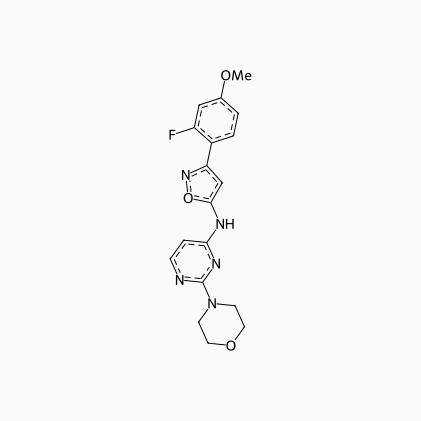 COc1ccc(-c2cc(Nc3ccnc(N4CCOCC4)n3)on2)c(F)c1